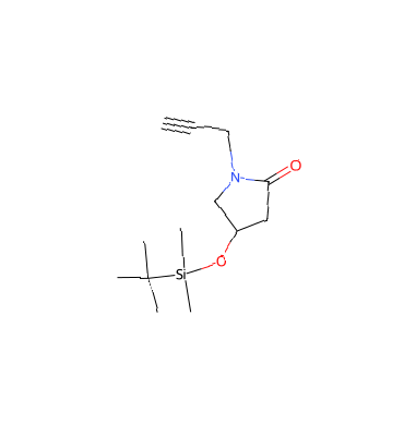 C#CCN1CC(O[Si](C)(C)C(C)(C)C)CC1=O